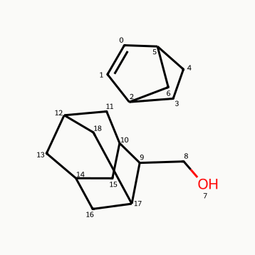 C1=CC2CCC1C2.OCC1C2CC3CC(C2)CC1C3